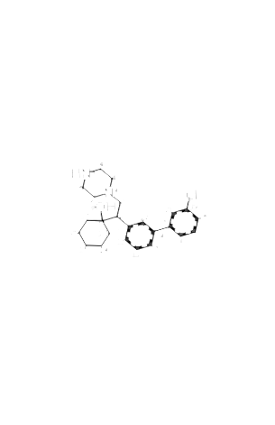 OC1(C(CN2CCNCC2)c2cccc(-c3cccc(Cl)c3)c2)CCCCC1